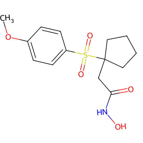 COc1ccc(S(=O)(=O)C2(CC(=O)NO)CCCC2)cc1